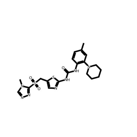 Cc1ccc(NC(=O)Nc2ncc(CS(=O)(=O)c3nncn3C)s2)c(N2CCCCC2)c1